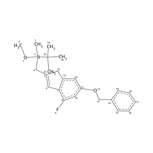 CO[Si](C)(CC1=Cc2c(F)cc(OCc3ccccc3)cc2C1)C(C)(C)C